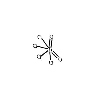 [O]=[Ti](=[O])([Cl])([Cl])([Cl])[Cl]